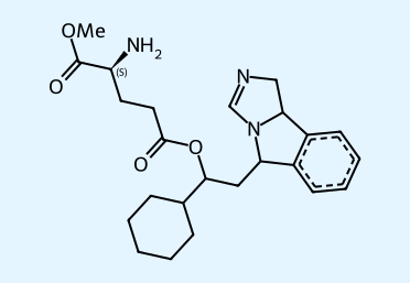 COC(=O)[C@@H](N)CCC(=O)OC(CC1c2ccccc2C2CN=CN21)C1CCCCC1